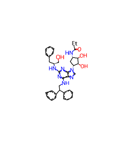 CCC(=O)N[C@H]1C[C@@H](n2cnc3c(NCC(c4ccccc4)c4ccccc4)nc(N[C@H](CO)Cc4ccccc4)nc32)[C@H](O)[C@@H]1O